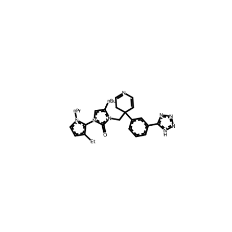 CCCCc1cn(-c2c(CC)ccn2CCC)c(=O)n1CC1(c2cccc(-c3nnn[nH]3)c2)C=CN=CC1